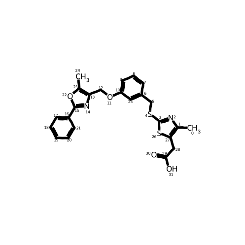 Cc1nc(SCc2cccc(OCc3nc(-c4ccccc4)oc3C)c2)sc1CC(=O)O